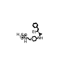 CC/C(=C\c1ccccc1)[C@H]1C[C@@H]1NC1CCN(CCNS(C)(=O)=O)CC1